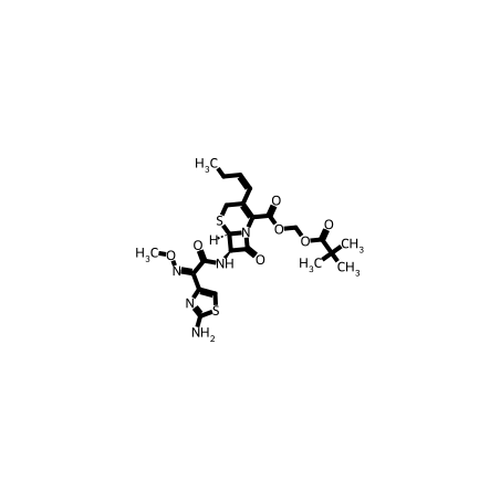 CC/C=C\C1=C(C(=O)OCOC(=O)C(C)(C)C)N2C(=O)[C@@H](NC(=O)/C(=N\OC)c3csc(N)n3)[C@H]2SC1